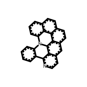 c1ccc2c(c1)-c1nccc3cc4ccc5ccc6cccc7c6c5c4c(c13)N27